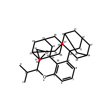 CC(C)C(Oc1cccc(C23CC4CC(CC(C4)C2)C3)c1C12CC3CC(CC(C3)C1)C2)C1CO1